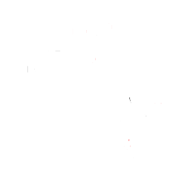 CCCCCC/C=C/[C@H]1[C@H](OC)CC(=O)[C@@H]1C/C=C\CCC(OCCCC)C(=O)O